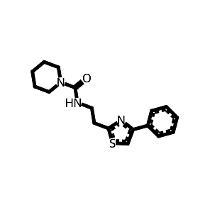 O=C(NCCc1nc(-c2ccccc2)cs1)N1CCCCC1